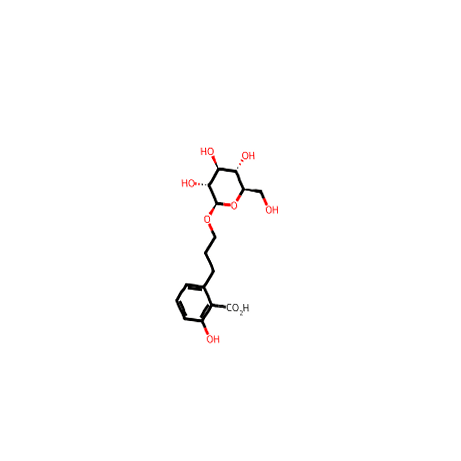 O=C(O)c1c(O)cccc1CCCO[C@@H]1O[C@H](CO)[C@@H](O)[C@H](O)[C@H]1O